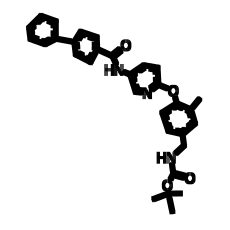 Cc1cc(CNC(=O)OC(C)(C)C)ccc1Oc1ccc(NC(=O)c2ccc(-c3ccccc3)cc2)cn1